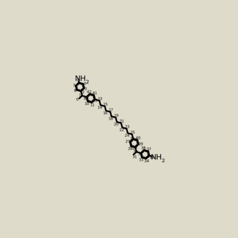 CC(c1ccc(N)cc1)c1ccc(CCCCCCCCCCCCCc2ccc(C(C)c3ccc(N)cc3)cc2)cc1